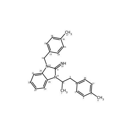 Cc1ccc(CC(C)n2c(=N)n(Cc3ccc(C)cc3)c3ccccc32)cc1